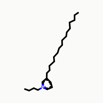 CCCCCCCCCCCCCCCCc1ccc[n+](CCCC)c1